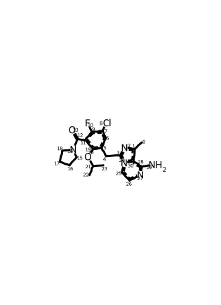 Cc1nc(Cc2cc(Cl)c(F)c(C(=O)N3CCCC3)c2OC(C)C)n2ccnc(N)c12